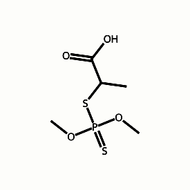 COP(=S)(OC)SC(C)C(=O)O